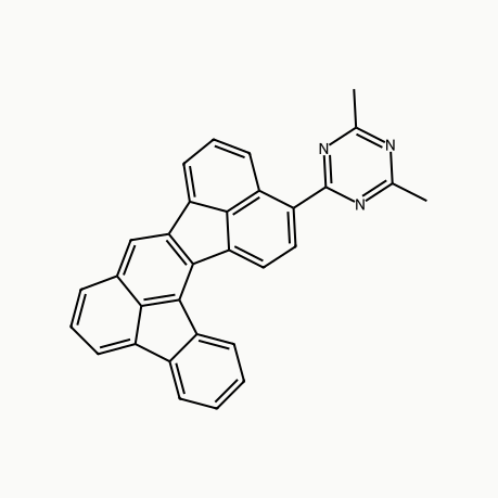 Cc1nc(C)nc(-c2ccc3c4c2cccc4c2cc4cccc5c6ccccc6c(c45)c23)n1